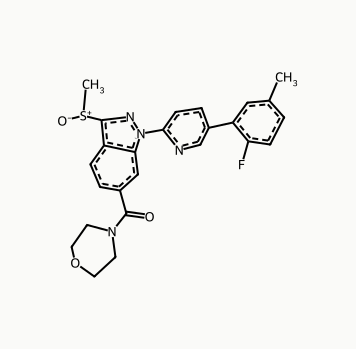 Cc1ccc(F)c(-c2ccc(-n3nc([S+](C)[O-])c4ccc(C(=O)N5CCOCC5)cc43)nc2)c1